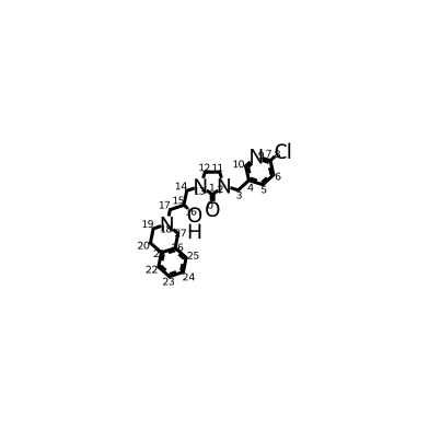 O=C1N(Cc2ccc(Cl)nc2)CCN1CC(O)CN1CCc2ccccc2C1